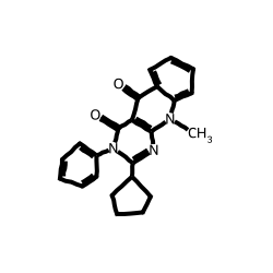 Cn1c2ccccc2c(=O)c2c(=O)n(-c3ccccc3)c(C3CCCC3)nc21